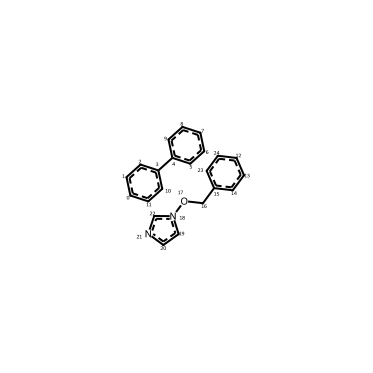 c1ccc(-c2ccccc2)cc1.c1ccc(COn2ccnc2)cc1